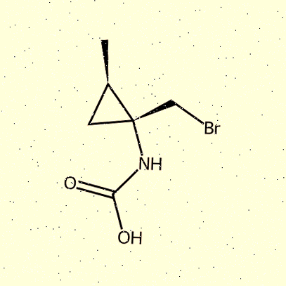 C[C@@H]1C[C@@]1(CBr)NC(=O)O